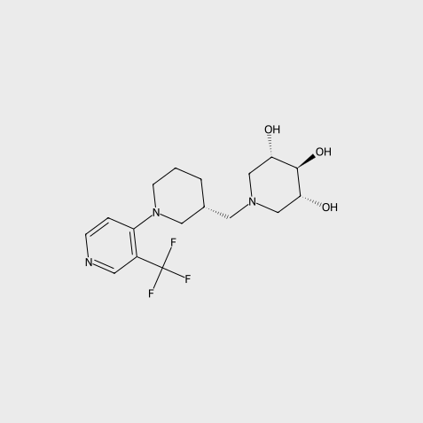 O[C@H]1[C@H](O)CN(C[C@H]2CCCN(c3ccncc3C(F)(F)F)C2)C[C@@H]1O